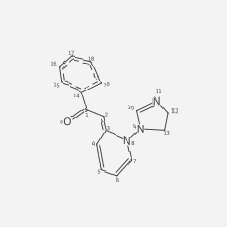 O=C(C=C1C=CC=CN1N1C=NCC1)c1ccccc1